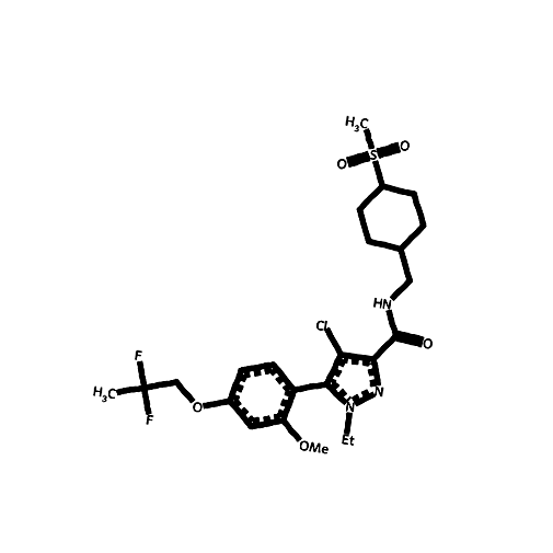 CCn1nc(C(=O)NCC2CCC(S(C)(=O)=O)CC2)c(Cl)c1-c1ccc(OCC(C)(F)F)cc1OC